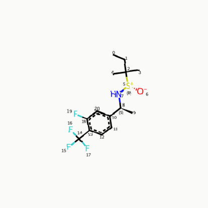 CCC(C)(C)[S@+]([O-])N[C@@H](C)c1ccc(C(F)(F)F)c(F)c1